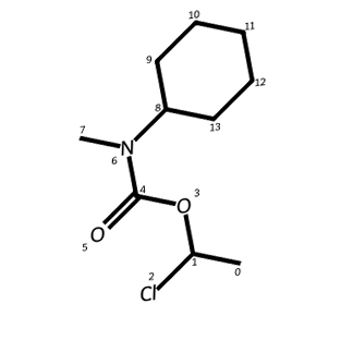 CC(Cl)OC(=O)N(C)C1CCCCC1